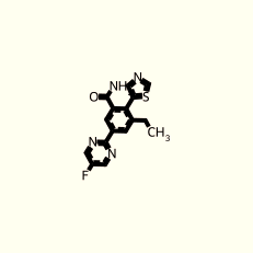 CCc1cc(-c2ncc(F)cn2)cc(C(N)=O)c1-c1cncs1